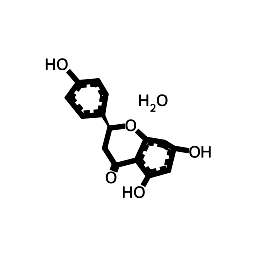 O.O=C1C[C@@H](c2ccc(O)cc2)Oc2cc(O)cc(O)c21